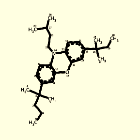 CCCC(C)(C)c1ccc2c(c1)Oc1cc(C(C)(C)CC)ccc1N2CCC(C)C